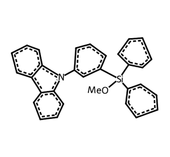 CO[Si](c1ccccc1)(c1ccccc1)c1cccc(-n2c3ccccc3c3ccccc32)c1